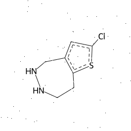 Clc1cc2c(s1)CCNNC2